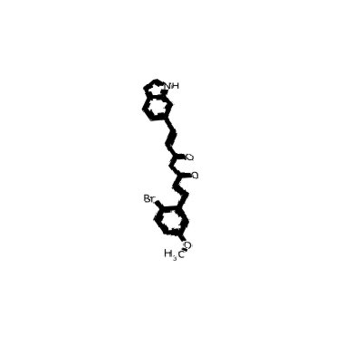 COc1ccc(Br)c(C=CC(=O)CC(=O)C=Cc2ccc3cc[nH]c3c2)c1